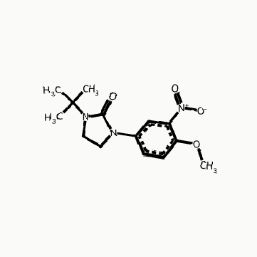 COc1ccc(N2CCN(C(C)(C)C)C2=O)cc1[N+](=O)[O-]